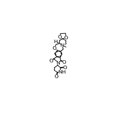 C[N+]12CCC3(C[C@H]1COc1cc4c(cc1C2)C(=O)N(C1CCC(=O)NC1=O)C4=O)OCCO3